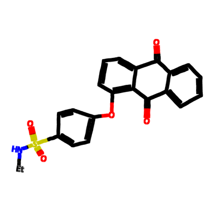 CCNS(=O)(=O)c1ccc(Oc2cccc3c2C(=O)c2ccccc2C3=O)cc1